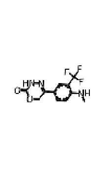 CNc1ccc(C2=NNC(=O)OC2)cc1C(F)(F)F